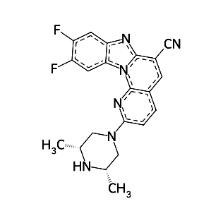 C[C@@H]1CN(c2ccc3cc(C#N)c4nc5cc(F)c(F)cc5n4c3n2)C[C@H](C)N1